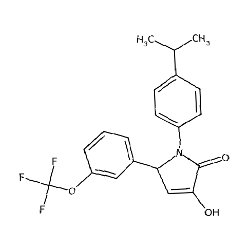 CC(C)c1ccc(N2C(=O)C(O)=CC2c2cccc(OC(F)(F)F)c2)cc1